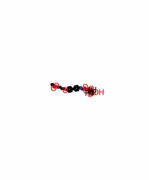 C=CC(=O)OCCCCOc1ccc(-c2ccc(/C=C/C(=O)O[C@H]3CO[C@H]4[C@@H]3OC[C@H]4O)cc2)cc1